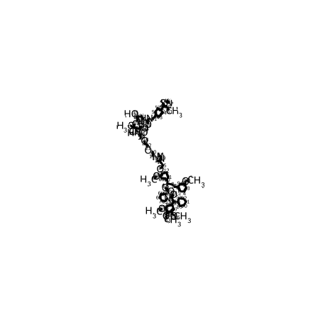 COc1cccc([C@H](CCc2ccc(OCc3cn(CCOCCOCC(=O)N[C@H](C(=O)N4C[C@H](O)C[C@H]4C(=O)NCc4ccc(-c5scnc5C)cc4)C(C)(C)C)nn3)c(OC)c2)OC(=O)[C@H]2CCCCN2C(=O)[C@H](c2cc(OC)c(OC)c(OC)c2)C2CCCCC2)c1